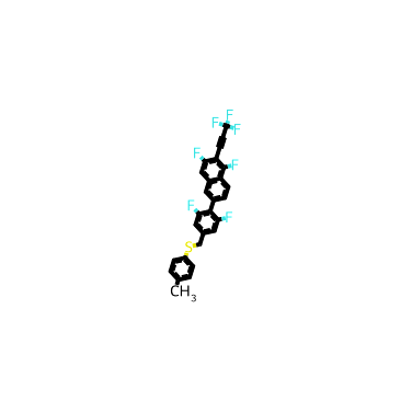 Cc1ccc(SCc2cc(F)c(-c3ccc4c(F)c(C#CC(F)(F)F)c(F)cc4c3)c(F)c2)cc1